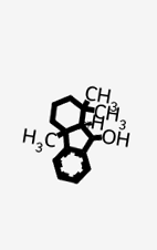 CC1(C)CCCC2(C)c3ccccc3C(O)[C@@H]12